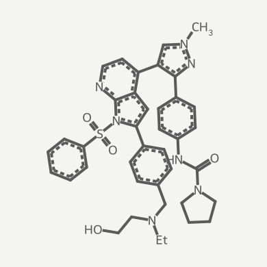 CCN(CCO)Cc1ccc(-c2cc3c(-c4cn(C)nc4-c4ccc(NC(=O)N5CCCC5)cc4)ccnc3n2S(=O)(=O)c2ccccc2)cc1